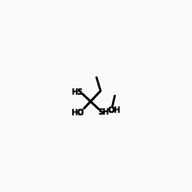 CCC(O)(S)S.CO